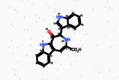 O=C(O)C1=Cc2c([nH]c3ccccc23)C(=O)C(c2c[nH]c3ccccc23)N1